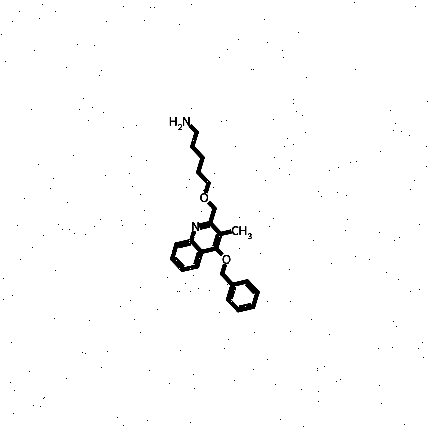 Cc1c(COCCCCCN)nc2ccccc2c1OCc1ccccc1